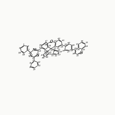 c1ccc(-c2nc(-c3ccccc3)nc(-c3ccc4c(c3)C3(c5cc(-c6ccc(-c7ccnc8ccccc78)cc6)ccc5O4)c4ccccc4-c4ccccc43)n2)cc1